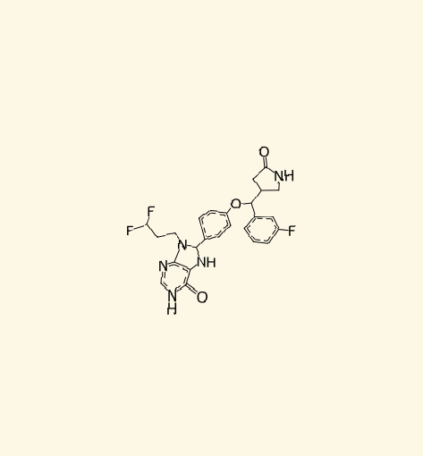 O=C1CC(C(Oc2ccc(C3Nc4c(nc[nH]c4=O)N3CCC(F)F)cc2)c2cccc(F)c2)CN1